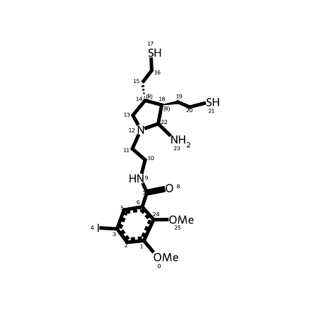 COc1cc(I)cc(C(=O)NCCN2C[C@H](CCS)[C@@H](CCS)C2N)c1OC